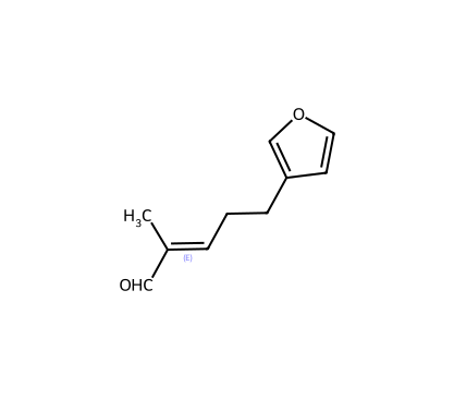 C/C(C=O)=C\CCc1ccoc1